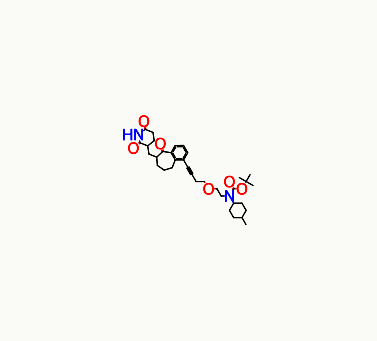 CC1CCC(N(CCOCCC#Cc2cccc3c2CCCC(CC2CCC(=O)NC2=O)C3=O)C(=O)OC(C)(C)C)CC1